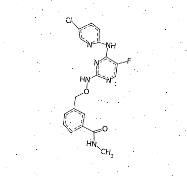 CNC(=O)c1cccc(CONc2ncc(F)c(Nc3ccc(Cl)cn3)n2)c1